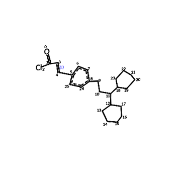 O=C(Cl)/C=C/c1ccc(CCC(C2CCCCC2)C2CCCCC2)cc1